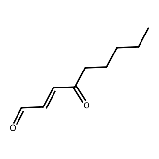 CCCCCC(=O)C=CC=O